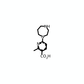 Cc1nc(N2CCCNCC2)ccc1C(=O)O